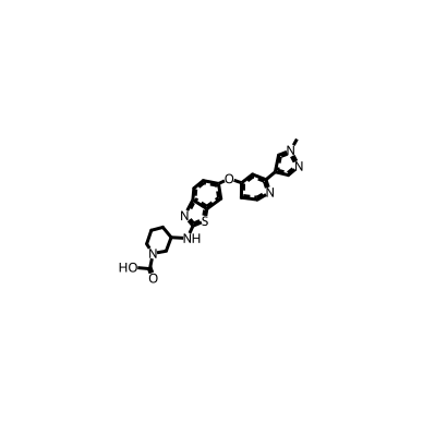 Cn1cc(-c2cc(Oc3ccc4nc(NC5CCCN(C(=O)O)C5)sc4c3)ccn2)cn1